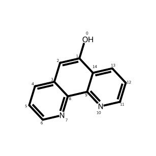 Oc1cc2cccnc2c2ncccc12